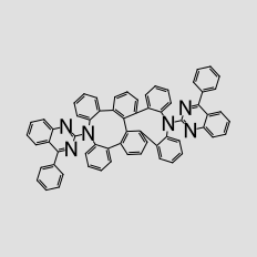 c1ccc(-c2nc(-n3c4ccccc4c4cccc5c6ccccc6n(-c6nc(-c7ccccc7)c7ccccc7n6)c6ccccc6c6cccc(c7ccccc73)c6c45)nc3ccccc23)cc1